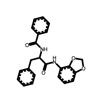 O=C(NC(Cc1ccccc1)C(=O)Nc1cccc2c1OCO2)c1ccccc1